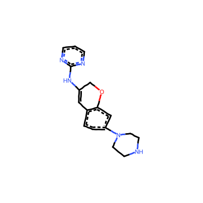 C1=C(Nc2ncccn2)COc2cc(N3CCNCC3)ccc21